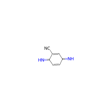 N#CC1=CC(=N)C=CC1=N